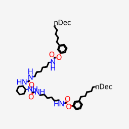 CCCCCCCCCCCCCCCc1cccc(OC(=O)NCCCCCCNC(=O)N[C@H]2CCCC[C@@H]2NC(=O)NCCCCCCNC(=O)Oc2cccc(CCCCCCCCCCCCCCC)c2)c1